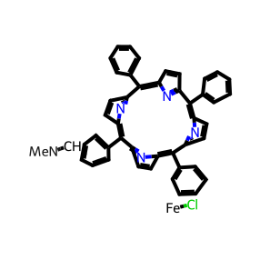 C1=CC2=C(c3ccccc3)C3=NC(=C(c4ccccc4)C4=NC(=C(c5ccccc5)C5=NC(=C(c6ccccc6)C1=N2)C=C5)C=C4)C=C3.CNC.[Cl][Fe]